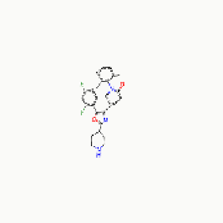 Cc1cccc(C)c1-n1cc(-c2nc(C3CCNCC3)oc2-c2ccc(F)cc2F)ccc1=O